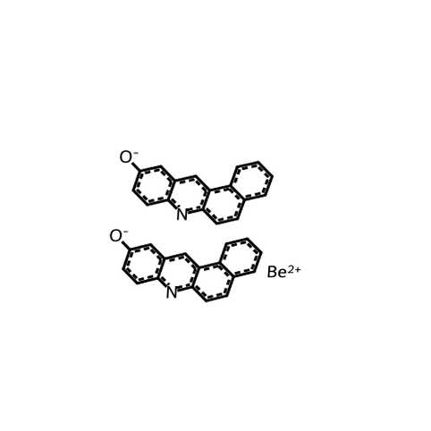 [Be+2].[O-]c1ccc2nc3ccc4ccccc4c3cc2c1.[O-]c1ccc2nc3ccc4ccccc4c3cc2c1